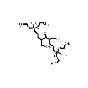 CCO[Si](C)(CCCC(CC)C(=O)C(CC)CCC[Si](C)(OCC)OCC)OCC